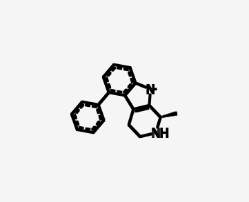 C[C@H]1NCCC2=C1[N]c1cccc(-c3ccccc3)c12